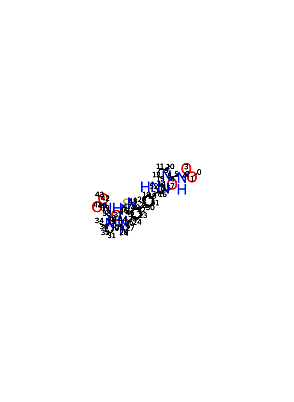 COC(=O)NCC(=O)N1C(C)CC[C@H]1c1ncc(-c2ccc(-c3ccc(-c4cnc([C@@H]5CCC(C)N5C(=O)CNC(=O)OC)[nH]4)c4nsnc34)cc2)[nH]1